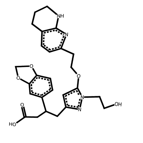 O=C(O)CC(Cc1cc(OCCc2ccc3c(n2)NCCC3)n(CCO)n1)c1ccc2c(c1)OCO2